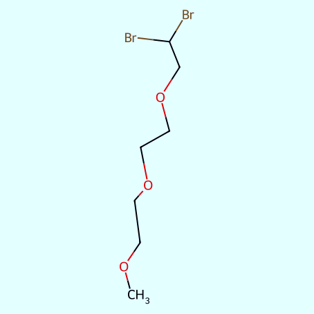 COCCOCCOCC(Br)Br